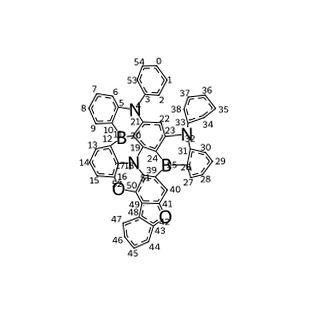 c1ccc(N2c3ccccc3B3c4cccc5c4N4c6c3c2cc2c6B(c3ccccc3N2c2ccccc2)c2cc3oc6ccccc6c3c(c24)O5)cc1